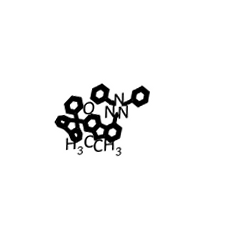 CC1(C)c2cc3c(cc2-c2c(-c4nc(-c5ccccc5)nc(-c5ccccc5)n4)cccc21)Oc1ccccc1C31c2ccccc2-c2ccccc21